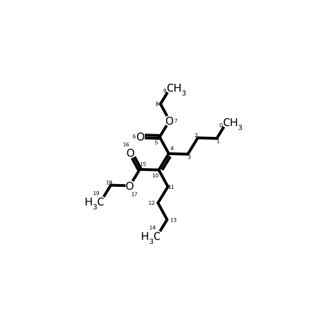 CCCC/C(C(=O)OCC)=C(\CCCC)C(=O)OCC